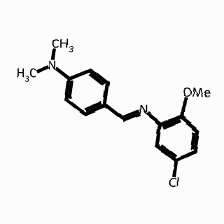 COc1ccc(Cl)cc1N=Cc1ccc(N(C)C)cc1